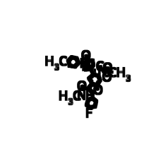 CNC(=O)c1c(-c2ccc(F)cc2)oc2cc(N(C)S(C)(=O)=O)c(-c3ccc(=O)n(-c4ccc(C)cc4)c3)cc12